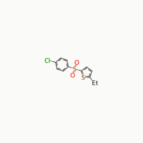 CCc1ccc(S(=O)(=O)c2ccc(Cl)cc2)s1